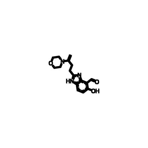 C=C(CCc1nc2c(C=O)c(O)ccc2[nH]1)N1CCOCC1